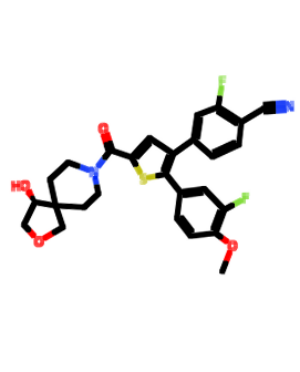 COc1ccc(-c2sc(C(=O)N3CCC4(CC3)COC[C@H]4O)cc2-c2ccc(C#N)c(F)c2)cc1F